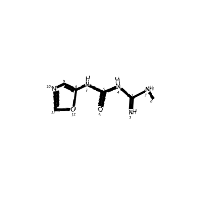 CNC(=N)NC(=O)Nc1cnco1